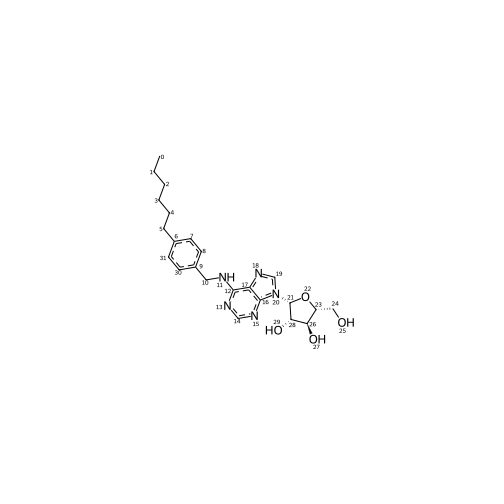 CCCCCCc1ccc(CNc2ncnc3c2ncn3[C@@H]2O[C@H](CO)[C@@H](O)[C@@H]2O)cc1